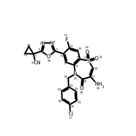 N#CC1(c2nnc(-c3cc4c(cc3F)S(=O)(=O)C=C(N)C(=O)N4Cc3ccc(Cl)cc3)o2)CC1